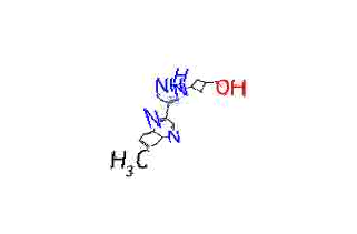 CC1=CC=C2N=C(/C(C=N)=C/NC3CC(CO)C3)C=NC2C1